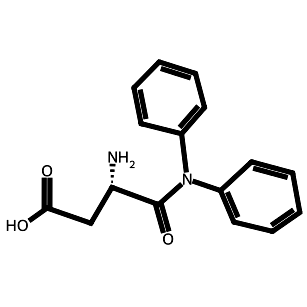 N[C@@H](CC(=O)O)C(=O)N(c1ccccc1)c1ccccc1